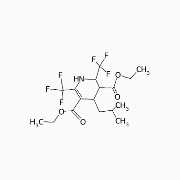 CCOC(=O)C1=C(C(F)(F)F)NC(C(F)(F)F)C(C(=O)OCC)C1CC(C)C